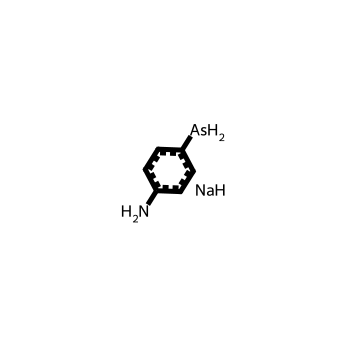 Nc1ccc([AsH2])cc1.[NaH]